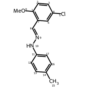 COc1[c]cc(Cl)cc1/C=N/Nc1ccc(C)cc1